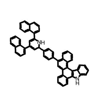 C1=C(c2cccc3ccccc23)C=C(c2cccc3ccccc23)NC1c1ccc(-c2cc3c4ccccc4c4[nH]c5ccccc5c4c3c3ccccc23)cc1